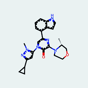 C[C@@H]1COCCN1c1nc(-c2cccc3[nH]ccc23)cn(-c2cc(C3CC3)nn2C)c1=O